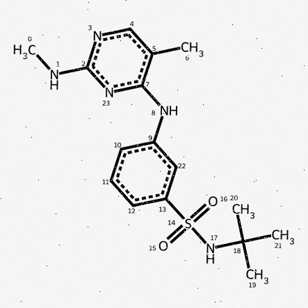 CNc1ncc(C)c(Nc2cccc(S(=O)(=O)NC(C)(C)C)c2)n1